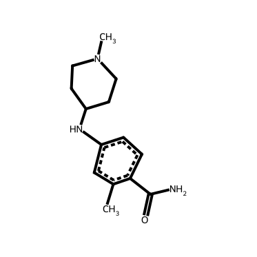 Cc1cc(NC2CCN(C)CC2)ccc1C(N)=O